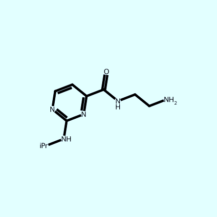 CC(C)Nc1nccc(C(=O)NCCN)n1